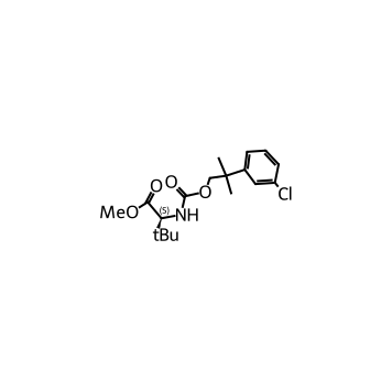 COC(=O)[C@@H](NC(=O)OCC(C)(C)c1cccc(Cl)c1)C(C)(C)C